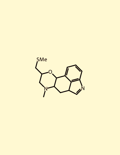 CSCC1CN(C)C2CC3C=Nc4cccc(c43)C2O1